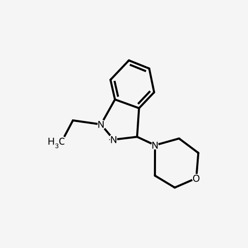 CCN1[N]C(N2CCOCC2)c2ccccc21